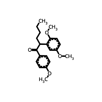 CCCCC(C(=O)c1ccc(OC)cc1)c1cc(OC)ccc1OC